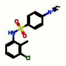 [C-]#[N+]c1ccc(S(=O)(=O)Nc2cccc(Cl)c2C)cc1